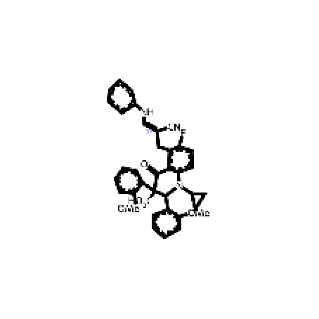 COc1ccccc1C1N(C2CC2)c2ccc(F)c(C/C(C#N)=C/Nc3ccccc3)c2C(=O)C1(C(=O)O)c1ccccc1OC